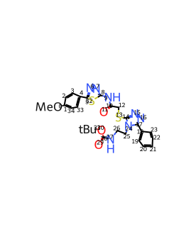 COc1ccc(-c2nnc(NC(=O)CSc3nnc(-c4ccccc4)n3CCNC(=O)OC(C)(C)C)s2)cc1